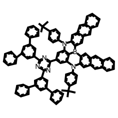 CC(C)(C)c1ccc(N2c3cc4cc5ccccc5cc4cc3B3c4cc5cc6ccccc6cc5cc4N(c4ccc(C(C)(C)C)cc4)c4cc(-c5nc(-c6cc(-c7ccccc7)cc(-c7ccccc7)c6)nc(-c6cc(-c7ccccc7)cc(-c7ccccc7)c6)n5)cc2c43)cc1